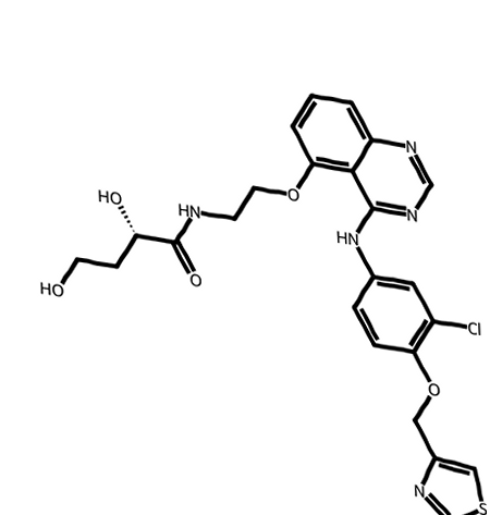 O=C(NCCOc1cccc2ncnc(Nc3ccc(OCc4cscn4)c(Cl)c3)c12)[C@@H](O)CCO